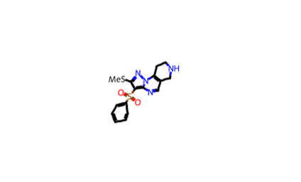 CSc1nn2c3c(cnc2c1S(=O)(=O)c1ccccc1)CNCC3